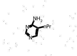 CCCc1cncnc1N